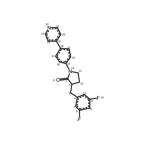 O=C1C(Cc2cc(F)cc(F)c2)CCN1c1ccc(-c2ccncc2)cc1